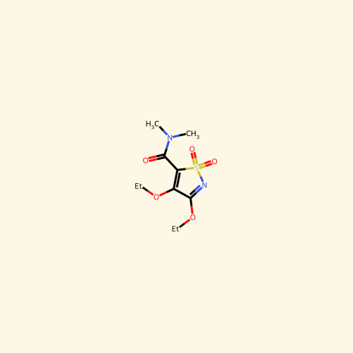 CCOC1=NS(=O)(=O)C(C(=O)N(C)C)=C1OCC